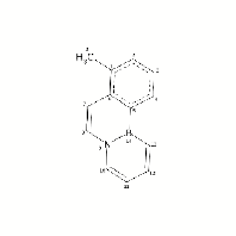 Cc1cccc2c1C=CN1C=CC=CB21